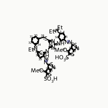 CCN(CC)c1ccc(/N=N/c2snc3sc(S(=O)(=O)O)c(OC)c23)c(Nc2nc3nc(n2)SCc2cccc(c2)N(CC)c2ccc(/N=N/c4snc5sc(S(=O)(=O)O)c(OC)c45)c(c2)N3)c1